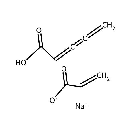 C=C=C=CC(=O)O.C=CC(=O)[O-].[Na+]